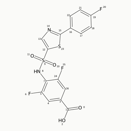 O=C(O)c1cc(F)c(NS(=O)(=O)c2cnc(-c3ccc(F)cc3)s2)c(F)c1